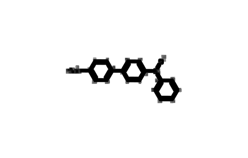 CCCCCCCCCc1ccc(-c2ccc([S+]([O-])c3ccccc3)cc2)cc1